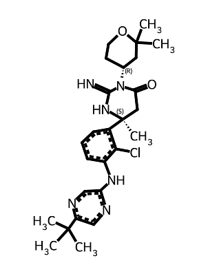 CC1(C)C[C@H](N2C(=N)N[C@](C)(c3cccc(Nc4cnc(C(C)(C)C)cn4)c3Cl)CC2=O)CCO1